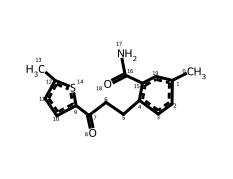 Cc1ccc(CCC(=O)c2ccc(C)s2)c(C(N)=O)c1